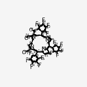 O=CC1=CC2=NC1=C(c1c(F)c(F)c(F)c(F)c1F)C1=NC(=C(c3c(F)c(F)c(F)c(F)c3F)C3=NC(=C(c4c(F)c(F)c(F)c(F)c4F)c4[nH]c2c(C=O)c4C=O)C=C3)C=C1